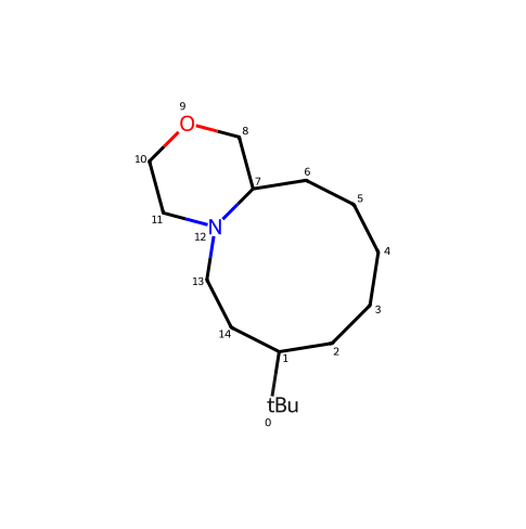 CC(C)(C)C1CCCCCC2COCCN2CC1